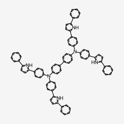 c1ccc(-c2ccc(-c3ccc(N(c4ccc(-c5ccc(N(c6ccc(-c7ccc(-c8ccccc8)[nH]7)cc6)c6ccc(-c7ccc(-c8ccccc8)[nH]7)cc6)cc5)cc4)c4ccc(-c5ccc(-c6ccccc6)[nH]5)cc4)cc3)[nH]2)cc1